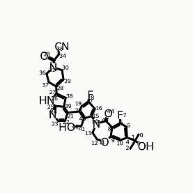 CC(C)(O)c1cc(F)c2c(c1)OCCN(c1cc(F)cc(-c3ccnc4[nH]c(C5=CCN(C(=O)CC#N)CC5)cc34)c1CO)C2=O